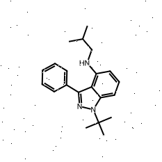 CC(C)CNc1cccc2c1c(-c1ccccc1)nn2C(C)(C)C